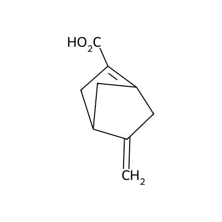 C=C1CC2=C(C(=O)O)CC1C2